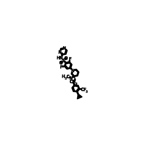 CN(C)[C@]1(CCc2ccc(C3CC3)c(C(F)(F)F)c2)CCCN(c2cc(F)c(S(=O)(=O)Nc3ccncn3)c(F)c2)C1